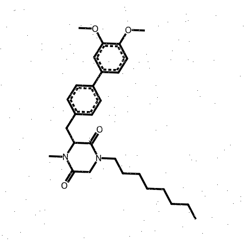 CCCCCCCCN1CC(=O)N(C)C(Cc2ccc(-c3ccc(OC)c(OC)c3)cc2)C1=O